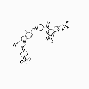 Cc1c(CN2CCC(Nc3nc(N)nc4sc(CC(F)(F)F)cc34)CC2)ccc2c1cc(C#N)n2C[C@@H](C)N1CCN(S(C)(=O)=O)CC1